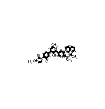 CNc1ncc(-c2nc(C)cc(-c3ccc(-n4ccn(C)c4=O)c(Cl)c3)c2O)cc1N1CCC2(CCCN2C(C)C)C1